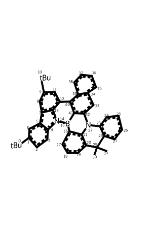 CC(C)(C)c1ccc2c(c1)c1cc(C(C)(C)C)cc3c1n2B1c2cccc4c2N(c2ccccc2C4(C)C)c2cc4ccccc4c-3c21